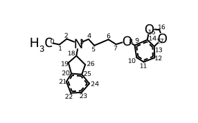 CCCN(CCCCOc1cccc2c1OCO2)C1Cc2ccccc2C1